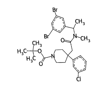 CC(c1cc(Br)cc(Br)c1)N(C)C(=O)CC1(c2cccc(Cl)c2)CCN(C(=O)OC(C)(C)C)CC1